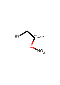 CC(C)C[C@H](C)O[N+](=O)[O-]